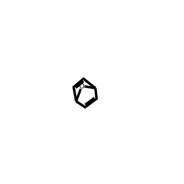 C1=CC2C=CC1O2